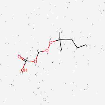 CCCC(C)(C)OOCOC(=O)O